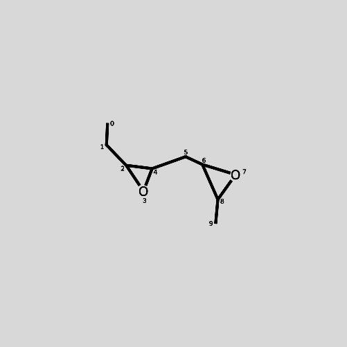 CCC1OC1CC1OC1C